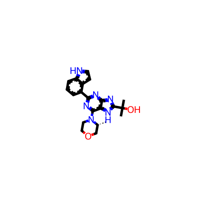 C[C@@H]1COCCN1c1nc(-c2cccc3[nH]ccc23)nc2nc(C(C)(C)O)[nH]c12